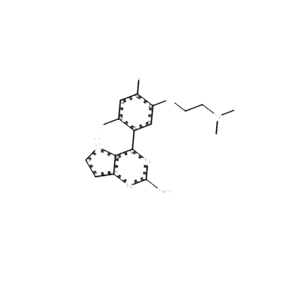 CN(C)CCOc1cc(-c2nc(N)nc3cc[nH]c23)c(Cl)cc1Cl